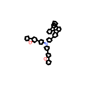 c1ccc(-c2cccc3c2C2(c4ccccc4-c4ccccc42)c2cc(-c4ccc(N(c5ccc(-c6ccc7c(c6)oc6ccccc67)cc5)c5ccc(-c6ccc7c(c6)oc6ccccc67)cc5)cc4)ccc2-3)cc1